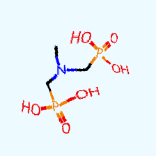 CN(CP(=O)(O)O)CP(=O)(O)O